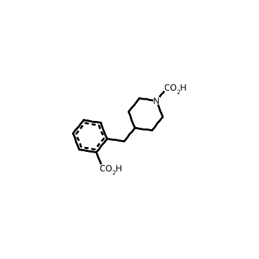 O=C(O)c1ccccc1CC1CCN(C(=O)O)CC1